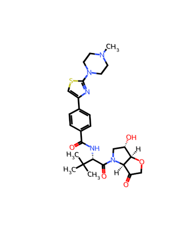 CN1CCN(c2nc(-c3ccc(C(=O)N[C@H](C(=O)N4C[C@H](O)[C@H]5OCC(=O)[C@H]54)C(C)(C)C)cc3)cs2)CC1